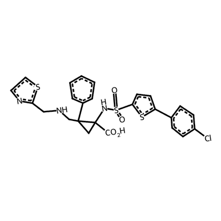 O=C(O)C1(NS(=O)(=O)c2ccc(-c3ccc(Cl)cc3)s2)CC1(CNCc1nccs1)c1ccccc1